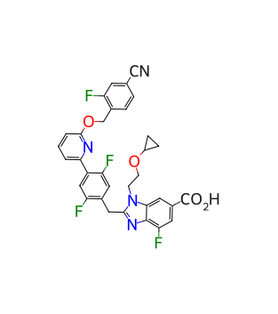 N#Cc1ccc(COc2cccc(-c3cc(F)c(Cc4nc5c(F)cc(C(=O)O)cc5n4CCOC4CC4)cc3F)n2)c(F)c1